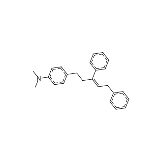 CN(C)c1ccc(CC/C(=C/Cc2ccccc2)c2ccccc2)cc1